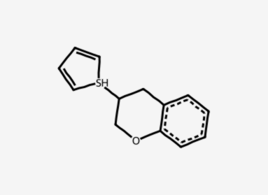 C1=C[SH](C2COc3ccccc3C2)C=C1